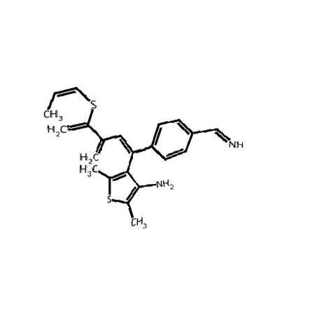 C=C(/C=C(/c1ccc(C=N)cc1)c1c(C)sc(C)c1N)C(=C)S/C=C\C